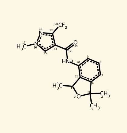 CC1OC(C)(C)c2cccc(NC(=O)c3cn(C)nc3C(F)(F)F)c21